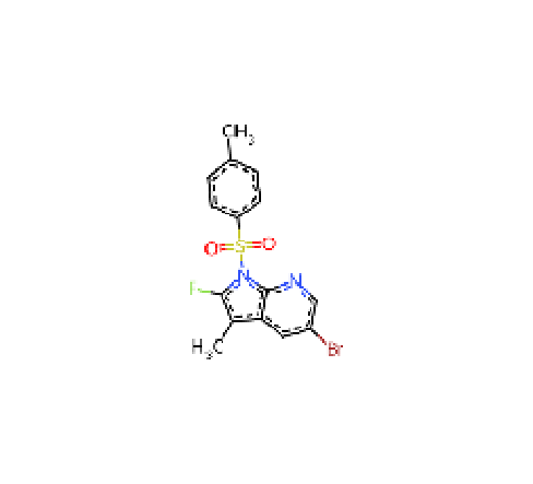 Cc1ccc(S(=O)(=O)n2c(F)c(C)c3cc(Br)cnc32)cc1